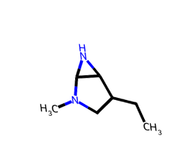 CCC1CN(C)C2NC12